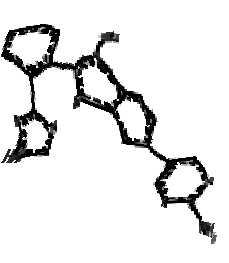 CC(C)(C)n1c(-c2ccccc2-c2nc[nH]n2)nc2cc(-c3cnc(N)nc3)ccc21